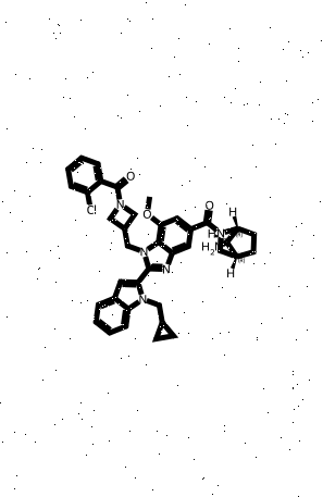 COc1cc(C(=O)N2C[C@H]3CC[C@@H]2[C@@H]3N)cc2nc(-c3cc4ccccc4n3CC3CC3)n(CC3CN(C(=O)c4ccccc4Cl)C3)c12